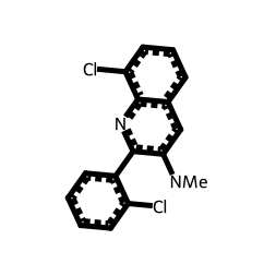 CNc1cc2cccc(Cl)c2nc1-c1ccccc1Cl